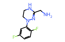 NCC1=NN(c2cc(F)ccc2F)CCN1